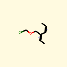 C/C=C\C(=C/C)COCCl